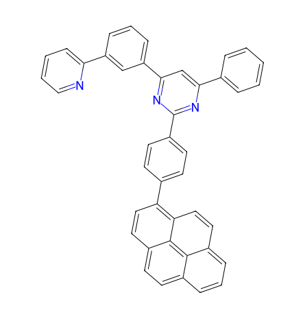 c1ccc(-c2cc(-c3cccc(-c4ccccn4)c3)nc(-c3ccc(-c4ccc5ccc6cccc7ccc4c5c67)cc3)n2)cc1